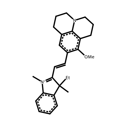 CCC1(C)C(/C=C/c2cc3c4c(c2OC)CCCN4CCC3)=[N+](C)c2ccccc21